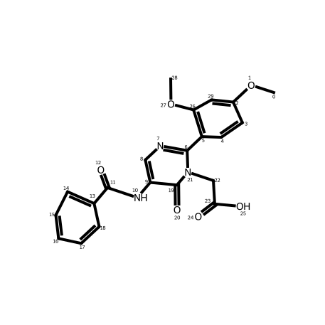 COc1ccc(-c2ncc(NC(=O)c3ccccc3)c(=O)n2CC(=O)O)c(OC)c1